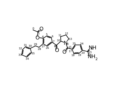 CC(=O)Oc1ccc(C(=O)C2CCCN2C(=O)c2ccc(C(=N)N)cc2)cc1CCc1ccccc1